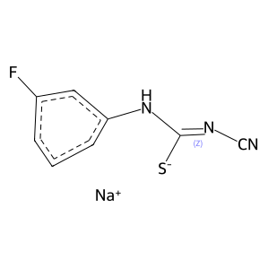 N#C/N=C(\[S-])Nc1cccc(F)c1.[Na+]